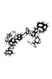 CS(=O)(=O)C1COCCN(c2nc(OCC34CCCN3CCC4)nc3c(F)c(-c4cccc5c(C6CCC7(COc8nc(N9CCOCC(C(N)=O)C9)c9cnc(-c%10cccc%11cccc(F)c%10%11)c(F)c9n8)CCCN67)ccc(F)c45)ncc23)C1